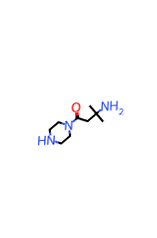 CC(C)(N)CC(=O)N1CCNCC1